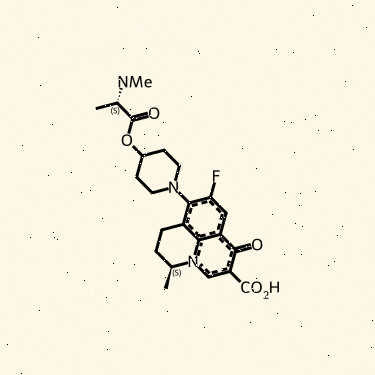 CN[C@@H](C)C(=O)OC1CCN(c2c(F)cc3c(=O)c(C(=O)O)cn4c3c2CC[C@@H]4C)CC1